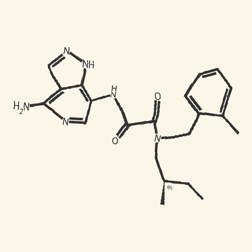 CC[C@@H](C)CN(Cc1ccccc1C)C(=O)C(=O)Nc1cnc(N)c2cn[nH]c12